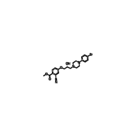 COC(=O)c1ccc(OC[C@H](O)CN2CCN(c3ccc(Br)cc3)CC2)cc1C#N